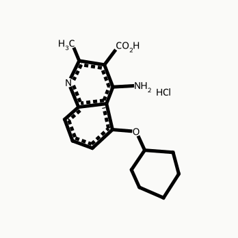 Cc1nc2cccc(OC3CCCCC3)c2c(N)c1C(=O)O.Cl